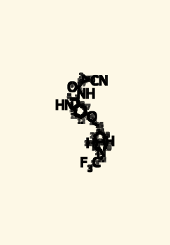 N#C[C@H]1C[C@@H]1C(=O)Nc1c[nH]c2ccc(OCC[C@@H]3C[C@@H]4CN(CC(F)(F)F)C[C@@H]4C3)cc12